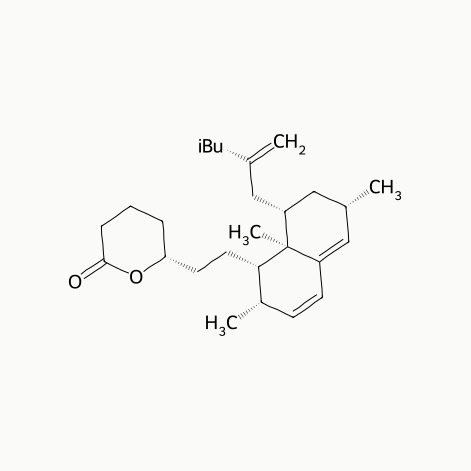 C=C(C[C@@H]1C[C@H](C)C=C2C=C[C@H](C)[C@H](CC[C@H]3CCCC(=O)O3)[C@]21C)[C@@H](C)CC